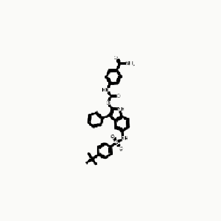 CC(C)(C)c1ccc(S(=O)(=O)Nc2ccc3[nH]c(OC(=O)Nc4ccc(C(N)=O)cc4)c(-c4ccccc4)c3c2)cc1